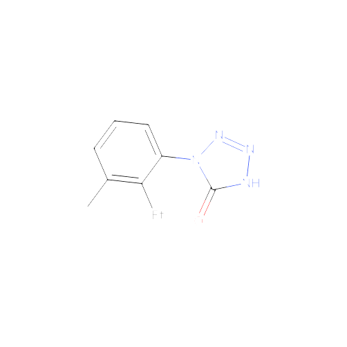 CCc1c(C)cccc1-n1nn[nH]c1=O